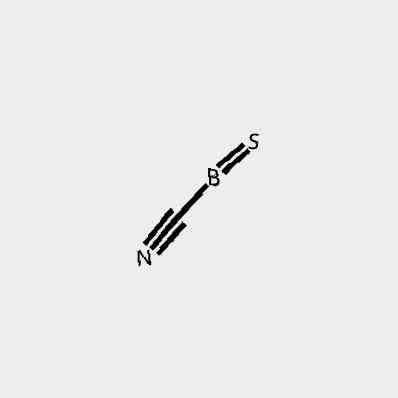 N#CB=S